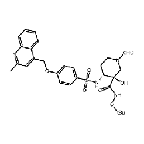 Cc1cc(COc2ccc(S(=O)(=O)N[C@@H]3CCN(C=O)C[C@]3(O)C(=O)NOC(C)(C)C)cc2)c2ccccc2n1